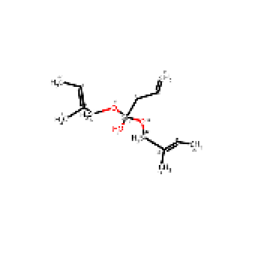 C=CC[Si](O)(O[SiH2]C(C)=CC)O[SiH2]C(C)=CC